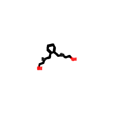 OCC[Se]Cc1ccccc1C[Se]CCO